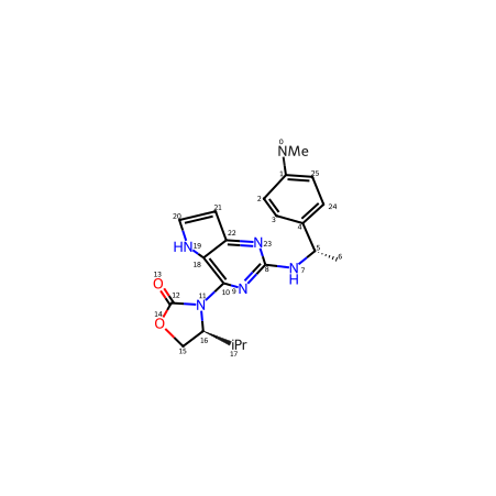 CNc1ccc([C@H](C)Nc2nc(N3C(=O)OC[C@@H]3C(C)C)c3[nH]ccc3n2)cc1